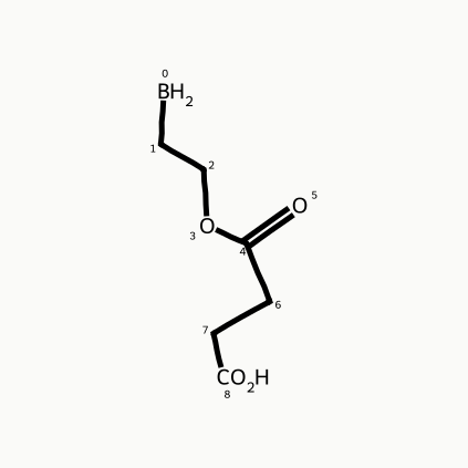 BCCOC(=O)CCC(=O)O